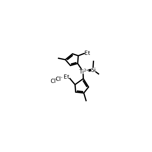 CCC1C=C(C)C=[C]1[Ti+2]([C]1=CC(C)=CC1CC)=[Si](C)C.[Cl-].[Cl-]